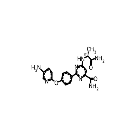 C[C@H](Nc1cc(C(N)=O)nc(-c2ccc(Oc3ccc(N)cn3)cc2)n1)C(N)=O